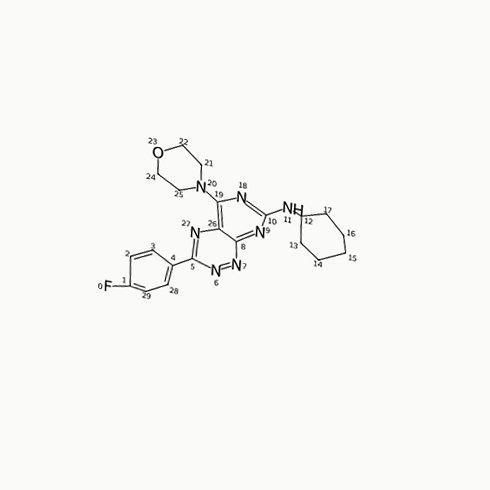 Fc1ccc(-c2nnc3nc(NC4CCCCC4)nc(N4CCOCC4)c3n2)cc1